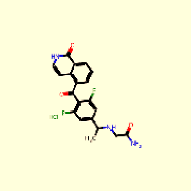 CC(NCC(N)=O)c1cc(F)c(C(=O)c2cccc3c(=O)[nH]ccc23)c(F)c1.Cl